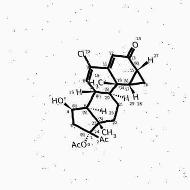 CC(=O)O[C@]1(C(C)=O)C[C@@H](O)[C@H]2[C@@H]3C=C(Cl)C4=CC(=O)[C@@H]5C[C@@H]5[C@]4(C)[C@H]3CC[C@@]21C